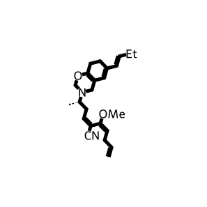 C=CC/C=C(OC)\C(C#N)=C/C[C@H](C)N1COC2=C(C=C(/C=C/CC)CC2)C1